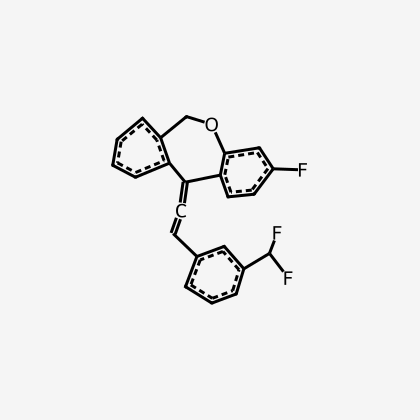 Fc1ccc2c(c1)OCc1ccccc1C2=C=Cc1cccc(C(F)F)c1